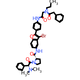 CCCN(CC(=O)Nc1ccc(-c2oc3ccc(NC(=O)[C@@H]4CCCN4C(=O)[C@@H](c4ccccc4)N(C)C)cc3c2Br)cc1)C(=O)Cc1ccccc1